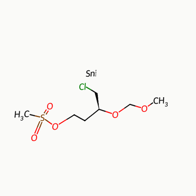 COCO[C@H](CCl)CCOS(C)(=O)=O.[Sn]